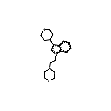 c1ccc2c(c1)c(C1CCNCC1)cn2CCN1CCOCC1